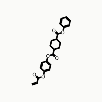 C=CC(=O)Oc1ccc(OC(=O)C2CCC(C(=O)Oc3ccccc3)CC2)cc1